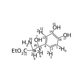 [2H]c1c([2H])c([C@@]([2H])(O)[C@]([2H])(N)C(=O)OCC)c([2H])c(O)c1O